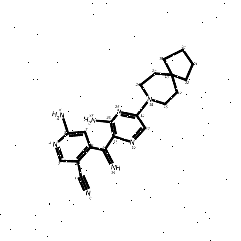 N#Cc1cnc(N)cc1C(=N)c1ncc(N2CCC3(CCCC3)CC2)nc1N